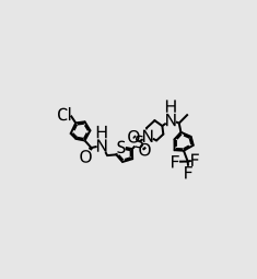 CC(NC1CCN(S(=O)(=O)c2ccc(CNC(=O)c3ccc(Cl)cc3)s2)CC1)c1ccc(C(F)(F)F)cc1